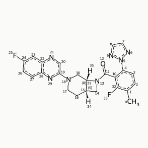 Cc1ccc(-n2nccn2)c(C(=O)N2C[C@@H]3CCN(c4cnc5cc(F)ccc5n4)C[C@@H]32)c1F